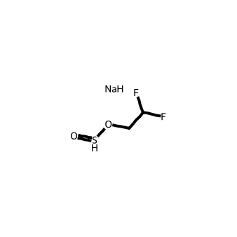 O=[SH]OCC(F)F.[NaH]